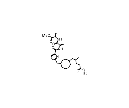 C=C(NC(=O)c1csc(CC2CCCCC(CC(C)CCC(=S)OCC)CC2)n1)C(=O)NC(=C)C(=O)OC